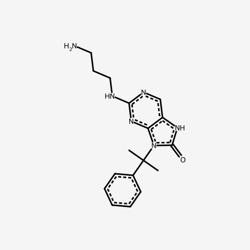 CC(C)(c1ccccc1)n1c(=O)[nH]c2cnc(NCCCN)nc21